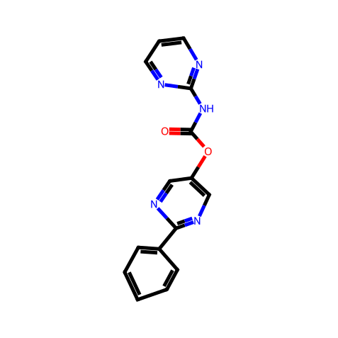 O=C(Nc1ncccn1)Oc1cnc(-c2ccccc2)nc1